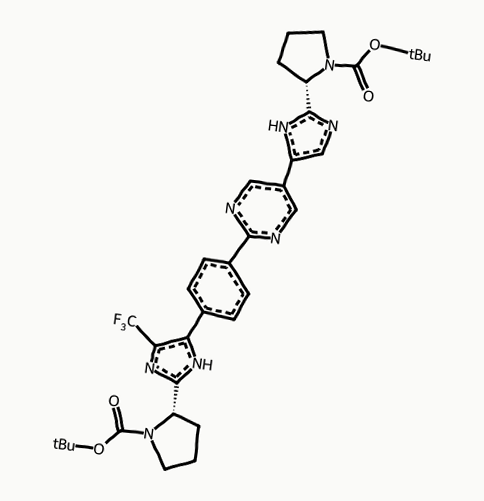 CC(C)(C)OC(=O)N1CCC[C@H]1c1ncc(-c2cnc(-c3ccc(-c4[nH]c([C@@H]5CCCN5C(=O)OC(C)(C)C)nc4C(F)(F)F)cc3)nc2)[nH]1